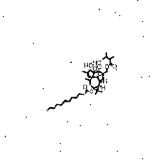 CCCCCCCCCCCC(=O)O[C@@]12CC(C)C34C=C(C)[C@H](O)[C@@]3(O)[C@H](O)C(COC(=O)C(C)=C(C)C)=C[C@H](C4=O)[C@@H]1C2(C)C